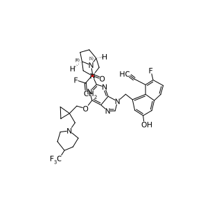 C#Cc1c(F)ccc2cc(O)cc(Cn3cnc4c(OCC5(CN6CCC(C(F)(F)F)CC6)CC5)nc(N5C[C@H]6CC[C@@H](C5)N6C(=O)C(=C)F)nc43)c12